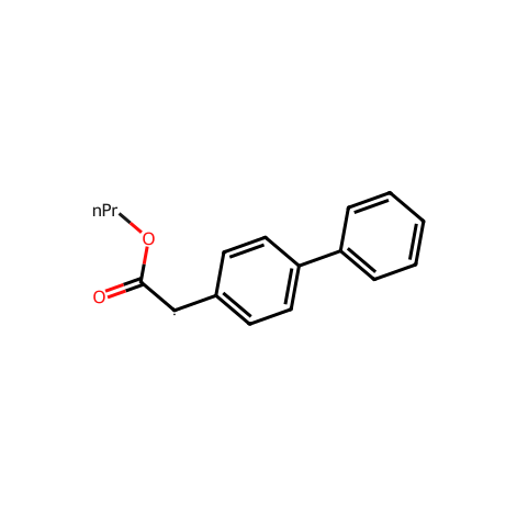 CCCOC(=O)[CH]c1ccc(-c2ccccc2)cc1